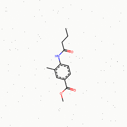 CCCC(=O)Nc1ccc(C(=O)OC)cc1C